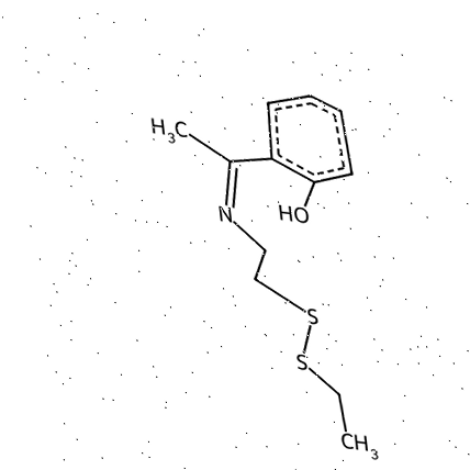 CCSSCC/N=C(/C)c1ccccc1O